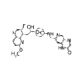 COc1ccc2ncc(F)c(CC(O)C34CCC(NCc5cc6[nH]c(=O)cnc6cn5)(CC3)CO4)c2n1